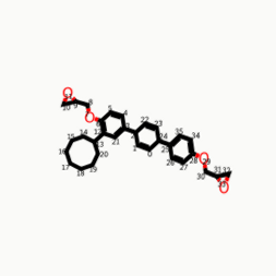 C1=CC(c2ccc(OCC3CO3)c(C3CCCCCCC3)c2)C=CC1c1ccc(OCC2CO2)cc1